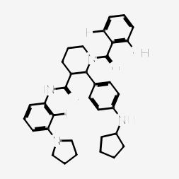 Cc1cccc(F)c1C(=O)N1CCCC(C(=O)Nc2cccc(N3CCCC3)c2F)C1c1ccc(NC2CCCC2)cc1